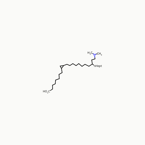 CCCCCCCC(CCCCCCCCC1CC1CCCCCCCC(=O)O)CCN(C)C